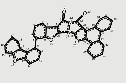 O=c1c2c3cccc(-c4cccc5oc6ccccc6c45)c3oc2n2c3oc4c5ccccc5c5ccccc5c4c3c(=O)n12